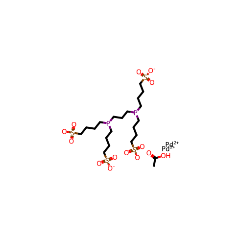 CC(=O)O.O=S(=O)([O-])CCCCP(CCCCS(=O)(=O)[O-])CCCP(CCCCS(=O)(=O)[O-])CCCCS(=O)(=O)[O-].[Pd+2].[Pd+2]